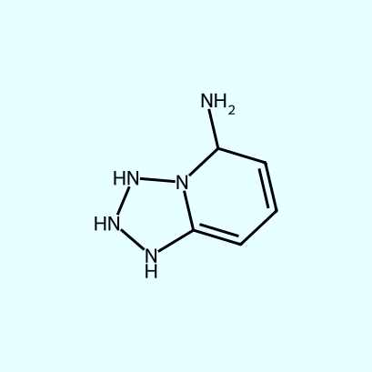 NC1C=CC=C2NNNN21